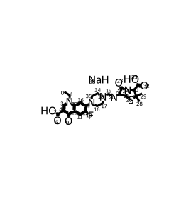 CCn1cc(C(=O)O)c(=O)c2cc(F)c(N3CCN(C=NC4C(=O)N5C4SC(C)(C)C5C(=O)O)CC3)cc21.[NaH]